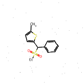 CCS(=O)(=O)C(c1ccccc1)c1ccc(C)s1